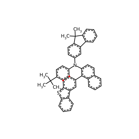 CC(C)(C)c1ccc(N(c2ccc3c(c2)-c2ccccc2C3(C)C)c2ccc3ccccc3c2-c2ccc3sc4ccccc4c3c2)cc1